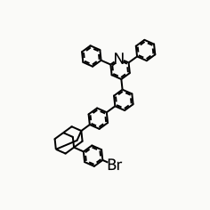 Brc1ccc(C23CC4CC(C2)CC(c2ccc(-c5cccc(-c6cc(-c7ccccc7)nc(-c7ccccc7)c6)c5)cc2)(C4)C3)cc1